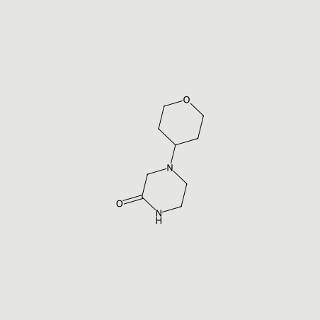 O=C1CN(C2CCOCC2)CCN1